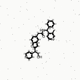 Cc1cnccc1C(NC(=O)Cc1ccc2oc(C(CO)c3ccncc3)cc2c1)c1ccccc1